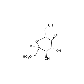 O=C(O)CC1(O)O[C@H](CO)[C@@H](O)[C@H](O)[C@H]1O